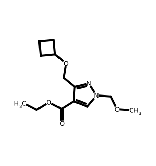 CCOC(=O)c1cn(COC)nc1COC1CCC1